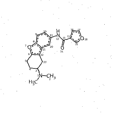 CN(C)C1CCc2oc3ccc(NC(=O)c4ccoc4)cc3c2C1